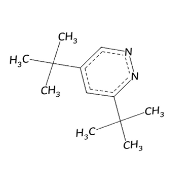 CC(C)(C)c1cnnc(C(C)(C)C)c1